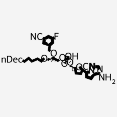 CCCCCCCCCCCCCCCOC[C@H](COP(=O)(O)OC[C@@H]1CC[C@](C#N)(c2ccc3c(N)ncnn23)O1)OCc1cc(F)cc(C#N)c1